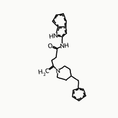 C=C(CCC(=O)Nc1cc2ccccc2[nH]1)N1CCC(Cc2ccccc2)CC1